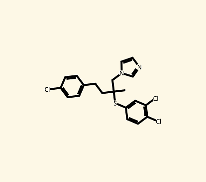 CC(CCc1ccc(Cl)cc1)(Cn1ccnc1)Sc1ccc(Cl)c(Cl)c1